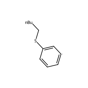 CCCCCSc1c[c]ccc1